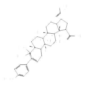 C=C(C)C1CC[C@]2(/C=C/C(=O)O)CC[C@]3(C)[C@H](CC[C@@H]4[C@@]5(C)CC=C(c6ccc(C(=O)O)cc6)C(C)(C)[C@@H]5CC[C@]43C)[C@@H]12